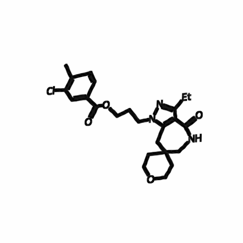 CCc1nn(CCCOC(=O)c2ccc(C)c(Cl)c2)c2c1C(=O)NCC1(CCOCC1)C2